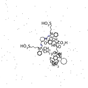 CC1(C)C(/C=C/C2=C(Oc3ccc(C[C@H](NC(=O)CCS(=O)(=O)c4c(F)c(F)c(S(N)(=O)=O)c(F)c4NC4CCCCCCC4)C(=O)O)cc3)C(=C/C=C3/N(CCCCS(=O)(=O)O)c4ccccc4C3(C)C)/CCC2)=[N+](CCCCS(=O)(=O)O)c2ccccc21